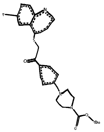 CC(C)(C)OC(=O)N1CCN(c2ccc(C(=O)CSc3ccnc4ccc(F)cc34)cc2)CC1